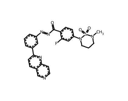 CN1CCCN(c2ccc(C(=O)N=Nc3cccc(-c4ccc5cnccc5n4)c3)c(F)c2)S1(=O)=O